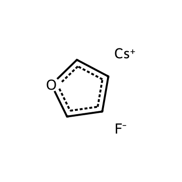 [Cs+].[F-].c1ccoc1